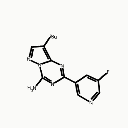 CCC(C)c1cnn2c(N)nc(-c3cncc(F)c3)nc12